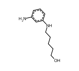 Nc1cccc(NCCCCCO)c1